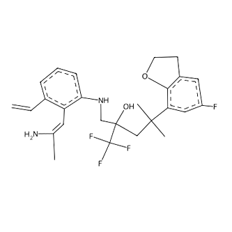 C=Cc1cccc(NCC(O)(CC(C)(C)c2cc(F)cc3c2OCC3)C(F)(F)F)c1/C=C(/C)N